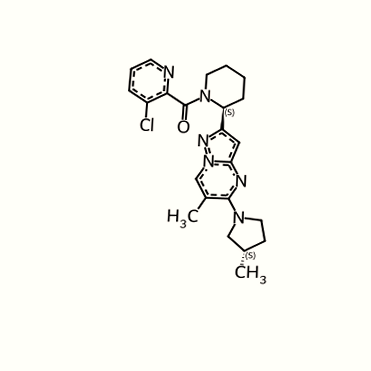 Cc1cn2nc([C@@H]3CCCCN3C(=O)c3ncccc3Cl)cc2nc1N1CC[C@H](C)C1